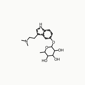 CC1OC(Oc2ccc3[nH]cc(CCN(C)C)c3c2)C(O)C(O)C1O